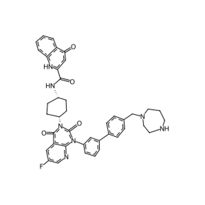 O=C(N[C@H]1CC[C@@H](n2c(=O)c3cc(F)cnc3n(-c3cccc(-c4ccc(CN5CCCNCC5)cc4)c3)c2=O)CC1)c1cc(=O)c2ccccc2[nH]1